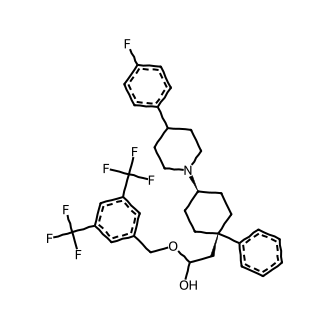 OC(C[C@]1(c2ccccc2)CC[C@H](N2CCC(c3ccc(F)cc3)CC2)CC1)OCc1cc(C(F)(F)F)cc(C(F)(F)F)c1